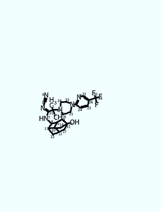 CC(C)(/C(=N\C#N)NC1C2CC3CC1CC(O)(C3)C2)N1CCN(c2ccc(C(F)(F)F)cn2)CC1